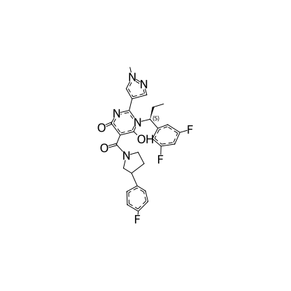 CC[C@@H](c1cc(F)cc(F)c1)n1c(-c2cnn(C)c2)nc(=O)c(C(=O)N2CCC(c3ccc(F)cc3)C2)c1O